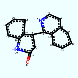 O=c1[c]c(-c2nccc3ccccc23)c2ccccc2[nH]1